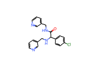 O=C(NCc1cccnc1)C(NCc1cccnc1)c1ccc(Cl)cc1